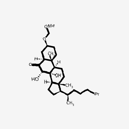 COCO[C@H]1CC[C@@]2(C)[C@H](C1)C(=O)[C@@H](O)[C@@]1(O)[C@@H]2CC[C@]2(C)[C@@H]([C@H](C)CCCC(C)C)CC[C@H]21